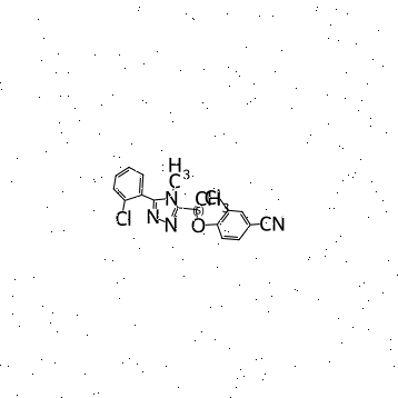 C[C@H](Oc1ccc(C#N)cc1Cl)c1nnc(-c2ccccc2Cl)n1C